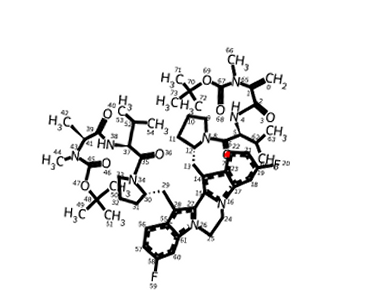 C=C(C(=O)N[C@H](C(=O)N1CCC[C@H]1Cc1c2n(c3cc(F)ccc13)CCn1c-2c(C[C@@H]2CCCN2C(=O)[C@@H](NC(=O)[C@H](C)N(C)C(=O)OC(C)(C)C)C(C)C)c2ccc(F)cc21)C(C)C)N(C)C(=O)OC(C)(C)C